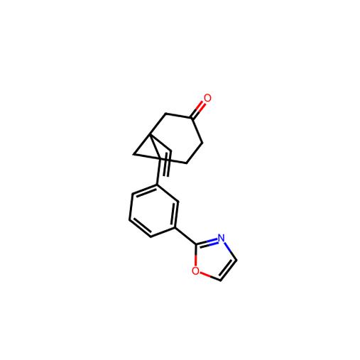 C=CC12CC(=O)CCC1(c1cccc(-c3ncco3)c1)C2